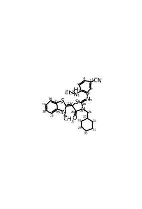 CCNc1ccc(C#N)cc1/N=C1\S/C(=C2\Sc3ccccc3N2C)C(=O)N1CC1CCCCC1